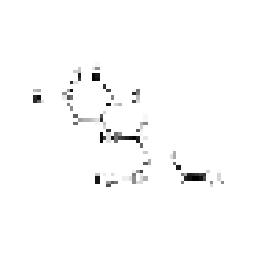 C=CCC(NC)C(=O)NC(CC(=O)O)C(=O)O